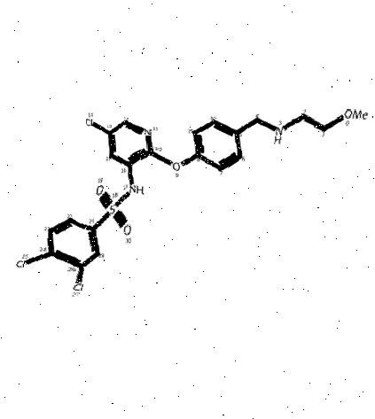 COCCNCc1ccc(Oc2ncc(Cl)cc2NS(=O)(=O)c2ccc(Cl)c(Cl)c2)cc1